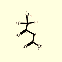 CCC(=O)CC(=O)C(F)(F)C(F)(F)F